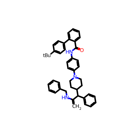 C=C(NCc1ccccc1)C(c1ccccc1)C1CCN(c2ccc(NC(=O)c3ccccc3-c3ccc(C(C)(C)C)cc3)cc2)CC1